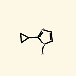 Brn1ccnc1C1CC1